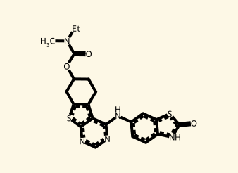 CCN(C)C(=O)OC1CCc2c(sc3ncnc(Nc4ccc5[nH]c(=O)sc5c4)c23)C1